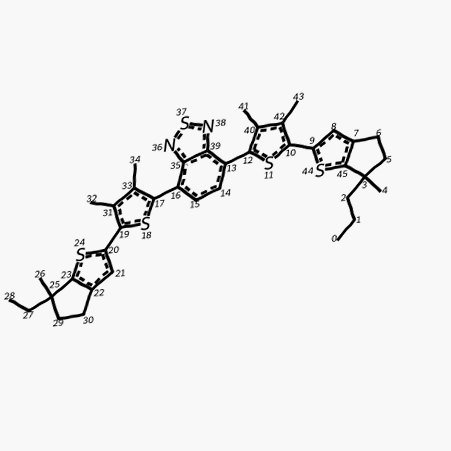 CCCC1(C)CCc2cc(-c3sc(-c4ccc(-c5sc(-c6cc7c(s6)C(C)(CC)CC7)c(C)c5C)c5nsnc45)c(C)c3C)sc21